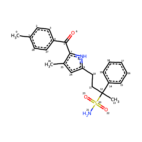 Cc1ccc(C(=O)c2[nH]c(CCC(C)(c3ccccc3)S(N)(=O)=O)cc2C)cc1